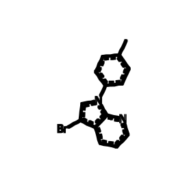 Cc1ccc(-n2cc(Br)c3cccnc32)cc1